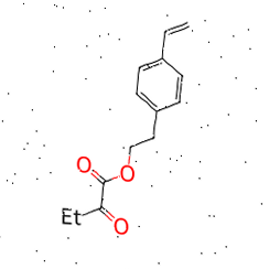 C=Cc1ccc(CCOC(=O)C(=O)CC)cc1